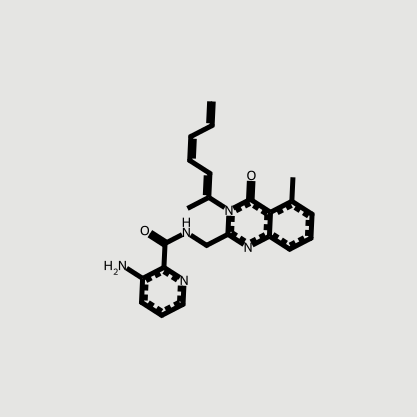 C=C/C=C\C=C(/C)n1c(CNC(=O)c2ncccc2N)nc2cccc(C)c2c1=O